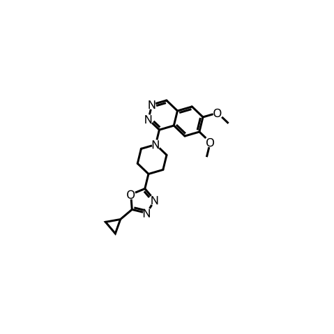 COc1cc2cnnc(N3CCC(c4nnc(C5CC5)o4)CC3)c2cc1OC